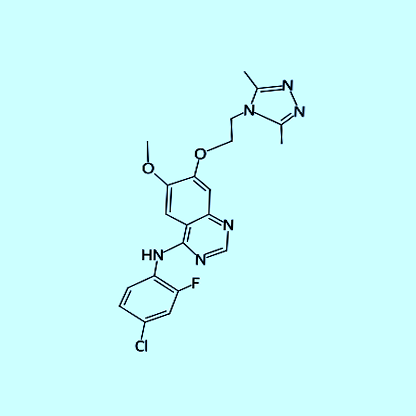 COc1cc2c(Nc3ccc(Cl)cc3F)ncnc2cc1OCCn1c(C)nnc1C